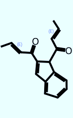 C/C=C/C(=O)C1=Cc2ccccc2C1C(=O)/C=C/C